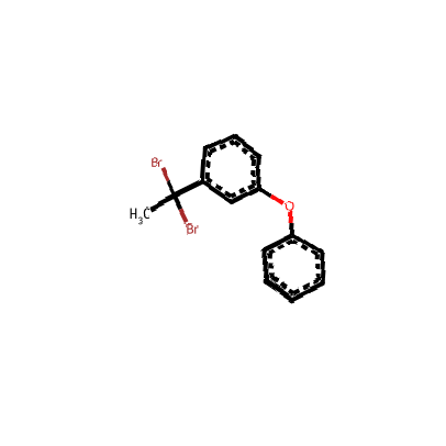 CC(Br)(Br)c1cccc(Oc2ccccc2)c1